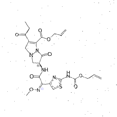 C=CCOC(=O)Nc1nc(/C(=N/OC)C(=O)N[C@H]2CN3CC(C(=O)CC)=C(C(=O)OCC=C)N3C2=O)cs1